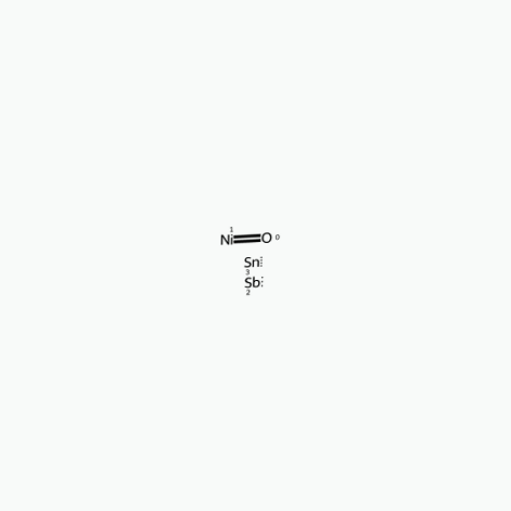 [O]=[Ni].[Sb].[Sn]